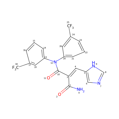 NC(=O)C(=Cc1cnc[nH]1)C(=O)N(c1cccc(C(F)(F)F)c1)c1cccc(C(F)(F)F)c1